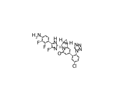 Nc1ccc(-c2[nH]c([C@@H]3[C@H]4C[C@H]4c4cc(-c5cc(Cl)ccc5-n5cnnn5)cc(=O)n43)nc2F)c(F)c1F